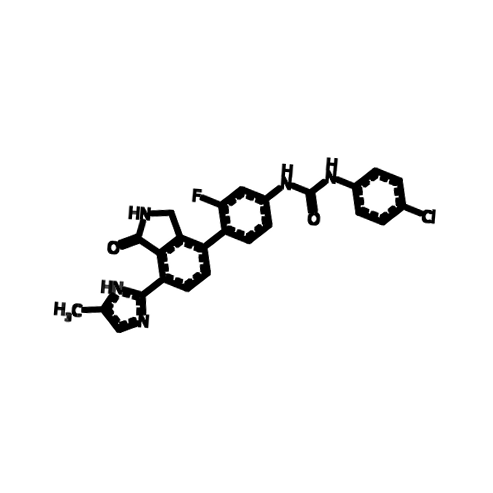 Cc1cnc(-c2ccc(-c3ccc(NC(=O)Nc4ccc(Cl)cc4)cc3F)c3c2C(=O)NC3)[nH]1